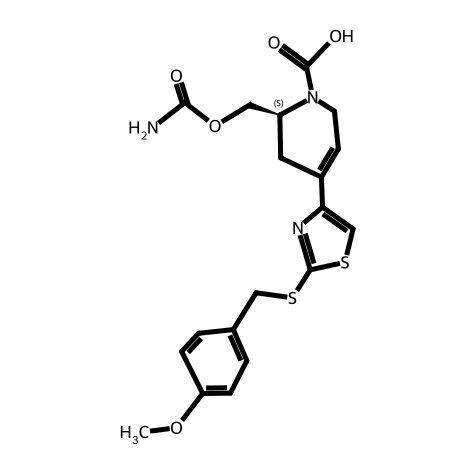 COc1ccc(CSc2nc(C3=CCN(C(=O)O)[C@H](COC(N)=O)C3)cs2)cc1